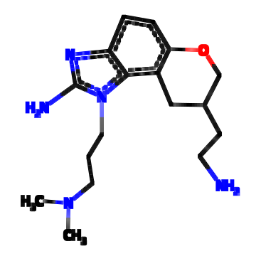 CN(C)CCCn1c(N)nc2ccc3c(c21)CC(CCN)CO3